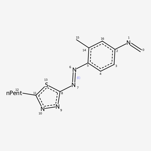 C=Nc1ccc(/N=N/c2nnc(CCCCC)s2)c(C)c1